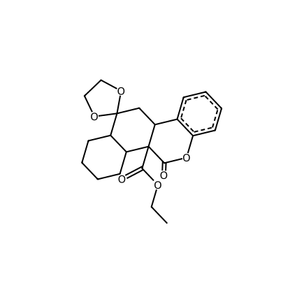 CCOC(=O)C12C(=O)Oc3ccccc3C1CC1(OCCO1)C1CCCCC12